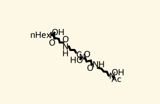 CCCCCCN(O)C(=O)CCC(=O)NCCCCCN(O)C(=O)CCC(=O)NCCCCCN(O)C(C)=O